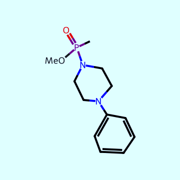 COP(C)(=O)N1CCN(c2ccccc2)CC1